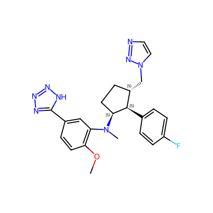 COc1ccc(-c2nnn[nH]2)cc1N(C)[C@H]1CC[C@H](Cn2ccnn2)[C@H]1c1ccc(F)cc1